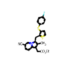 CCOC(=O)Cc1c(C)c(Cc2sccc2Sc2ccc(F)cc2)n2cc(C#N)ccc12